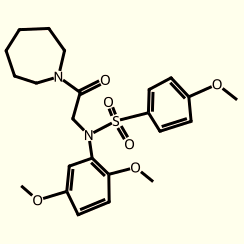 COc1ccc(S(=O)(=O)N(CC(=O)N2CCCCCC2)c2cc(OC)ccc2OC)cc1